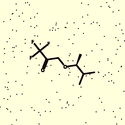 CC(C)[C@H](C)OCC(=O)C(F)(F)F